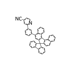 N#Cc1ccnc(-c2cccc(-c3cc4c(c5ccccc35)-c3c(ccc5ccccc35)C43c4ccccc4-c4ccccc43)c2)c1